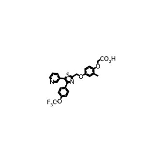 Cc1cc(OCc2nc(-c3ccc(OC(F)(F)F)cc3)c(-c3cccnc3)s2)ccc1OCC(=O)O